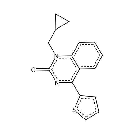 O=c1nc(-c2cccs2)c2ccccc2n1CC1CC1